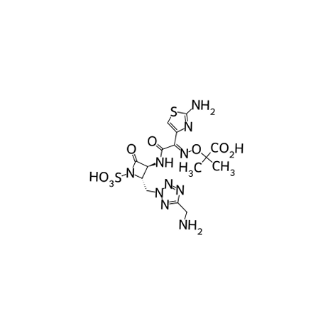 CC(C)(ON=C(C(=O)N[C@@H]1C(=O)N(S(=O)(=O)O)[C@H]1Cn1nnc(CN)n1)c1csc(N)n1)C(=O)O